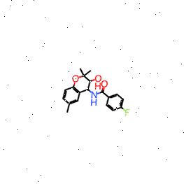 Cc1ccc2c(c1)C(NC(=O)c1ccc(F)cc1)C(O)C(C)(C)O2